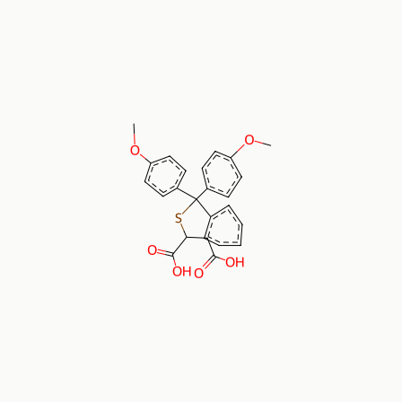 COc1ccc(C(SC(CC(=O)O)C(=O)O)(c2ccccc2)c2ccc(OC)cc2)cc1